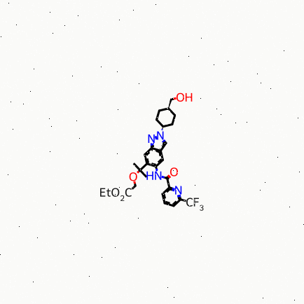 CCOC(=O)COC(C)(C)c1cc2nn([C@H]3CC[C@H](CO)CC3)cc2cc1NC(=O)c1cccc(C(F)(F)F)n1